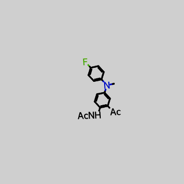 CC(=O)Nc1ccc(N(C)c2ccc(F)cc2)cc1C(C)=O